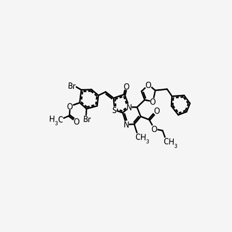 CCOC(=O)C1=C(C)N=c2sc(=Cc3cc(Br)c(OC(C)=O)c(Br)c3)c(=O)n2C1C1=COC(Cc2ccccc2)O1